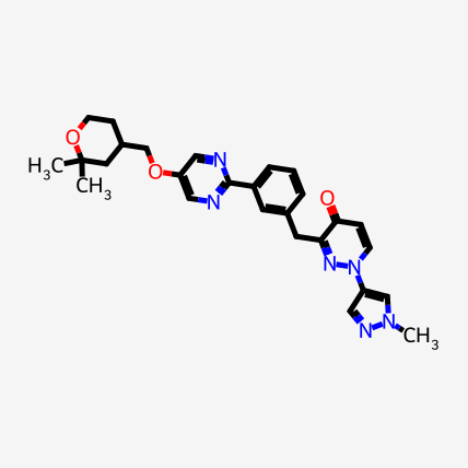 Cn1cc(-n2ccc(=O)c(Cc3cccc(-c4ncc(OCC5CCOC(C)(C)C5)cn4)c3)n2)cn1